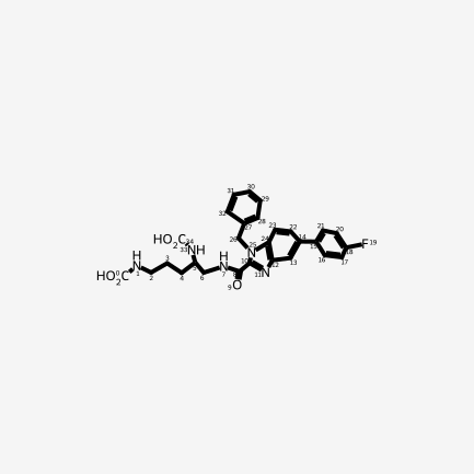 O=C(O)NCCCC(CNC(=O)c1nc2cc(-c3ccc(F)cc3)ccc2n1Cc1ccccc1)NC(=O)O